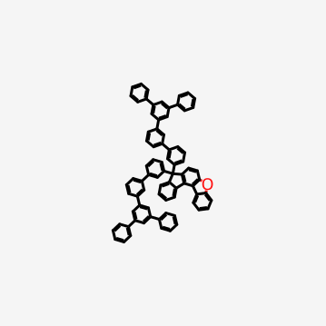 c1ccc(-c2cc(-c3ccccc3)cc(-c3cccc(-c4cccc(C5(c6cccc(-c7cccc(-c8cc(-c9ccccc9)cc(-c9ccccc9)c8)c7)c6)c6ccccc6-c6c5ccc5oc7ccccc7c65)c4)c3)c2)cc1